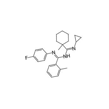 Cc1ccccc1/C(=N\c1ccc(F)cc1)N/C(=N/C1CC1)C1(C)CCCCC1